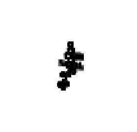 C[C@]12C=CC(=O)C=C1CCC1C2[C@@H](O)C[C@@]2(C)C1CC[C@]2(O)C(=O)COC(=O)CCS(=O)(=O)[O-].[Na+]